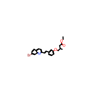 CCOC(=O)CC(C)COc1cccc(/C=C/c2ccc3ccc(Br)cc3n2)c1